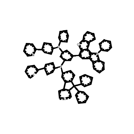 c1ccc(-c2ccc(N(c3cc(-c4cc5c6ccccc6n(-c6ccccc6)c5c5c4oc4ccccc45)cc(N(c4ccccc4)c4ccc(-c5ccccn5)cc4)c3)c3ccc4c(c3)-c3ccccc3C4(c3ccccc3)c3ccccc3)cc2)cc1